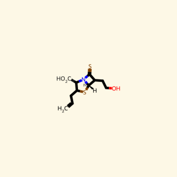 C=CCC1S[C@H]2C(CCO)C(=S)N2C1C(=O)O